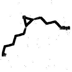 CCCCCCCCCC[C@H]1O[C@H]1CCCCC(C)C